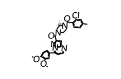 COc1ccc(-c2ccnc3cc(C(=O)N4CCN(C(=O)c5ccc(C)cc5Cl)[C@@H](C)C4)nn23)cc1OC